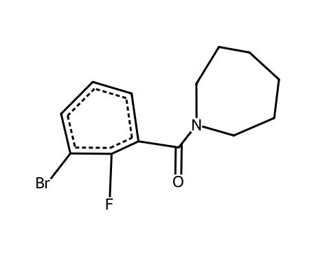 O=C(c1cccc(Br)c1F)N1CCCCCC1